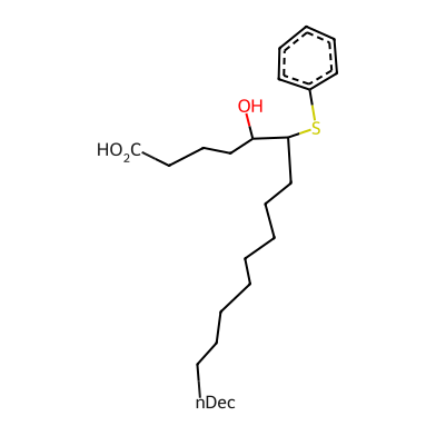 CCCCCCCCCCCCCCCCCCC(Sc1ccccc1)C(O)CCCC(=O)O